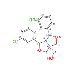 OC[C@]12COC(c3cccc(Cl)c3)N1[C@H](c1cccc(Cl)c1)OC2